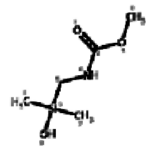 COC(=O)NC[Si](C)(C)O